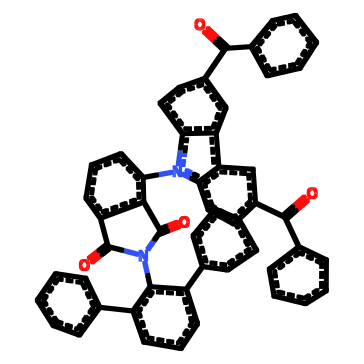 O=C(c1ccccc1)c1ccc2c(c1)c1cc(C(=O)c3ccccc3)ccc1n2-c1cccc2c1C(=O)N(c1c(-c3ccccc3)cccc1-c1ccccc1)C2=O